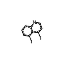 Ic1cccc2nccc(I)c12